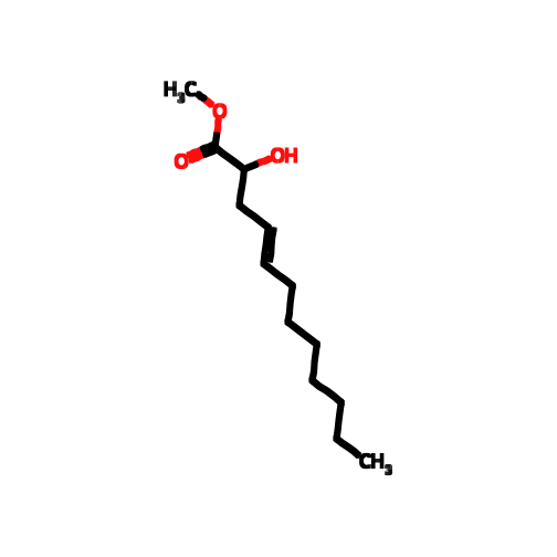 CCCCCCCC=CCC(O)C(=O)OC